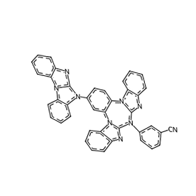 N#Cc1cccc(-n2c3nc4ccccc4n3c3ccc(-n4c5ccccc5n5c6ccccc6nc45)cc3n3c4ccccc4nc23)c1